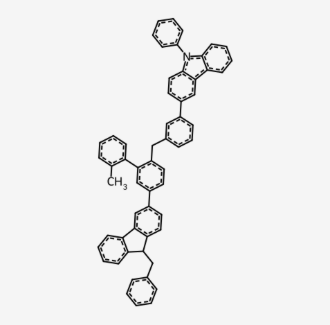 Cc1ccccc1-c1cc(-c2ccc3c(c2)-c2ccccc2C3Cc2ccccc2)ccc1Cc1cccc(-c2ccc3c(c2)c2ccccc2n3-c2ccccc2)c1